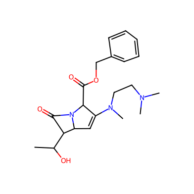 CC(O)C1C(=O)N2C(C(=O)OCc3ccccc3)C(N(C)CCN(C)C)=CC12